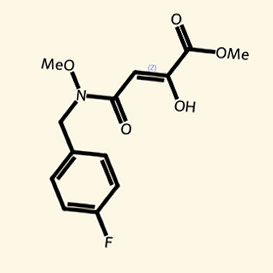 COC(=O)/C(O)=C/C(=O)N(Cc1ccc(F)cc1)OC